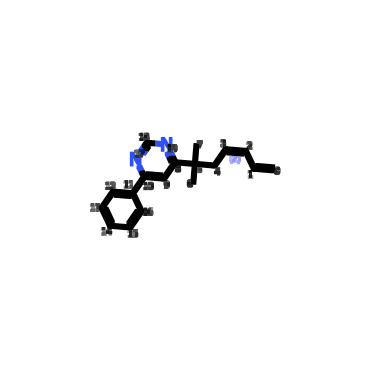 C=C/C=C\CC(C)(C)c1cc(-c2ccccc2)ncn1